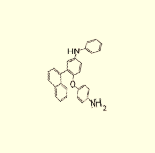 Nc1ccc(Oc2ccc(Nc3ccccc3)cc2-c2cccc3ccccc23)cc1